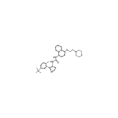 Cc1ccc(C(C)(C)C)cc1-n1nccc1NC(=O)Nc1ccc(OCCN2CCSCC2)c2ccccc12